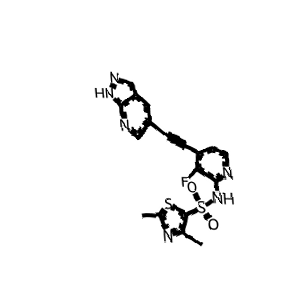 Cc1nc(C)c(S(=O)(=O)Nc2nccc(C#Cc3cnc4[nH]ncc4c3)c2F)s1